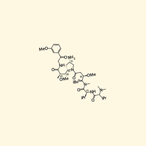 CC[C@H](C)C([C@@H](CC(=O)N1C[C@@H](N)C[C@H]1[C@H](OC)[C@@H](C)C(=O)NCC(=O)c1cccc(OC)c1)OC)N(C)C(=O)[C@@H](NC(=O)C(C(C)C)N(C)C)C(C)C